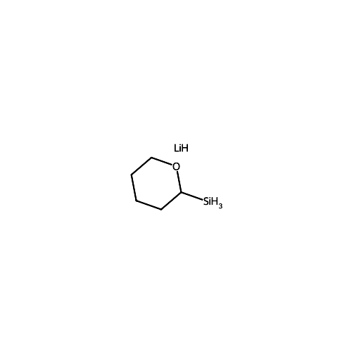 [LiH].[SiH3]C1CCCCO1